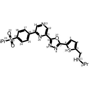 CC(C)NCc1ccc(-c2nnc(-c3cncc(-c4ccc(S(=O)(=O)C(C)C)cc4)n3)o2)s1